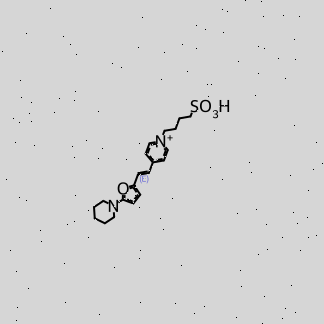 O=S(=O)(O)CCCC[n+]1ccc(/C=C/c2ccc(N3CCCCC3)o2)cc1